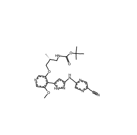 COc1cncc(OC[C@H](C)CNC(=O)OC(C)(C)C)c1-c1cc(Nc2cnc(C#N)cn2)n[nH]1